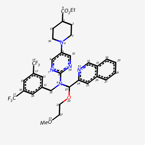 CCOC(=O)C1CCN(c2cnc(N(Cc3cc(C(F)(F)F)cc(C(F)(F)F)c3)C(OCCOC)c3cc4ccccc4cn3)nc2)CC1